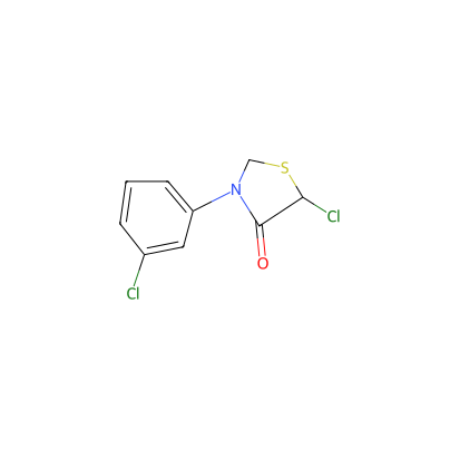 O=C1C(Cl)SCN1c1cccc(Cl)c1